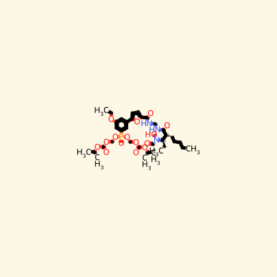 CCCCC[C@@H](C(=O)NCNC(=O)c1ccc(-c2cc(OCC)cc(P(=O)(OCOC(=O)OC(C)C)OCOC(=O)OC(C)C)c2)o1)[C@@H](CC)N(O)C=O